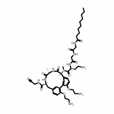 CCCCCCCCCC(=O)NCC(=O)NCC(=O)N[C@@H](CCN)C(=O)N(C)[C@@H]1C(=O)N[C@@H](C)C(=O)N[C@H](C(=O)NCC#N)Cc2ccc(OCCN)c(c2)-c2cc1ccc2OCCN